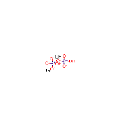 [Fe].[LiH].[O-][I+3]([O-])([O-])O.[O-][I+3]([O-])([O-])O